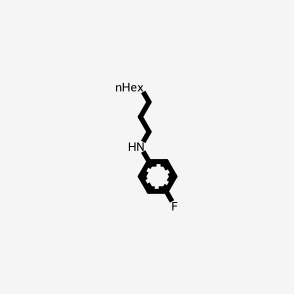 CCCCCCCCCNc1ccc(F)cc1